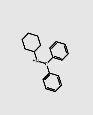 c1ccc(P(NC2CCCCC2)c2ccccc2)cc1